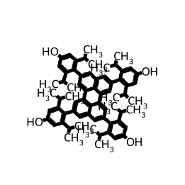 CC(C)c1cc(O)cc(C(C)C)c1-c1cc2cc(-c3c(C(C)C)cc(O)cc3C(C)C)cc3c4cc(-c5c(C(C)C)cc(O)cc5C(C)C)cc5cc(-c6c(C(C)C)cc(O)cc6C(C)C)cc(c(c1)c23)c54